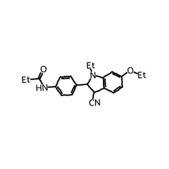 CCOc1ccc2c(c1)N(CC)C(c1ccc(NC(=O)CC)cc1)C2C#N